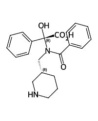 O=C(c1ccccc1)N(C[C@@H]1CCCNC1)[C@](O)(C(=O)O)c1ccccc1